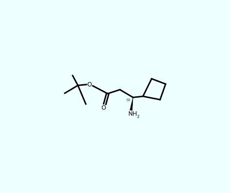 CC(C)(C)OC(=O)C[C@H](N)C1CCC1